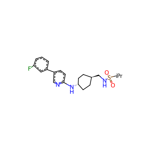 CC(C)S(=O)(=O)NC[C@H]1CC[C@H](Nc2ccc(-c3cccc(F)c3)cn2)CC1